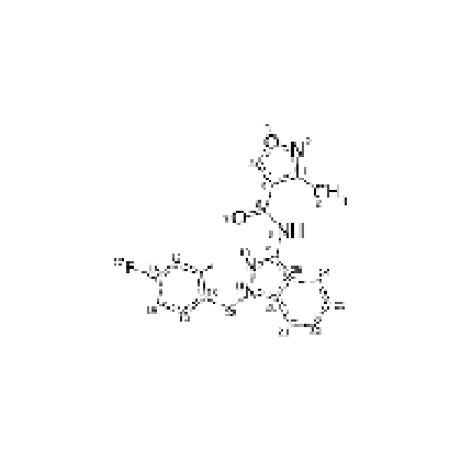 Cc1nocc1C(=O)Nc1nn(Cc2ccc(F)cc2)c2ccccc12